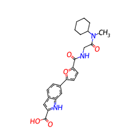 CN(C(=O)CNC(=O)c1ccc(-c2ccc3cc(C(=O)O)[nH]c3c2)o1)C1CCCCC1